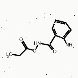 CCC(=O)ONC(=O)c1ccccc1N